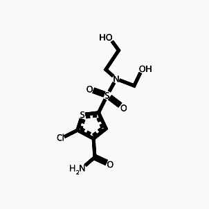 NC(=O)c1cc(S(=O)(=O)N(CO)CCO)sc1Cl